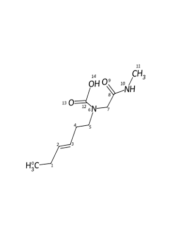 CC/C=C/CCN(CC(=O)NC)C(=O)O